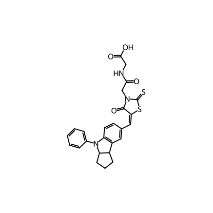 O=C(O)CNC(=O)CN1C(=O)/C(=C\c2ccc3c(c2)C2CCCC2N3c2ccccc2)SC1=S